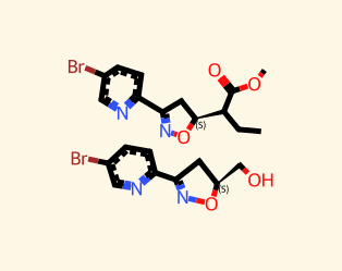 CCC(C(=O)OC)[C@@H]1CC(c2ccc(Br)cn2)=NO1.OC[C@@H]1CC(c2ccc(Br)cn2)=NO1